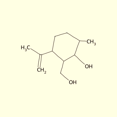 C=C(C)C1CCC(C)C(O)C1CO